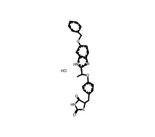 CC(Oc1ccc(CC2SC(=O)NC2=O)cc1)c1nc2ccc(OCc3ccccc3)cc2[nH]1.Cl